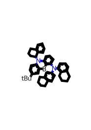 CC(C)(C)c1ccc2c(c1)B1c3c(cccc3N2C2CCCc3ccccc32)N(c2cccc3c2CCCC3)c2ccc3c(c21)CCCC3